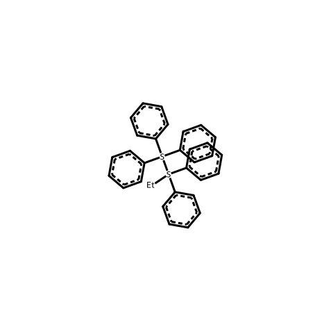 CCS(c1ccccc1)(c1ccccc1)S(c1ccccc1)(c1ccccc1)c1ccccc1